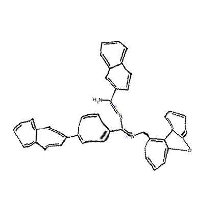 N/C(=N\C(=N/Cc1cccc2oc3ccccc3c12)c1ccc(-c2ccc3ccccc3c2)cc1)c1ccc2ccccc2c1